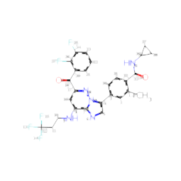 Cc1cc(-c2cnc3c(NCCC(F)(F)F)cc(C(=O)c4cccc(F)c4F)nn23)ccc1C(=O)NC1CC1